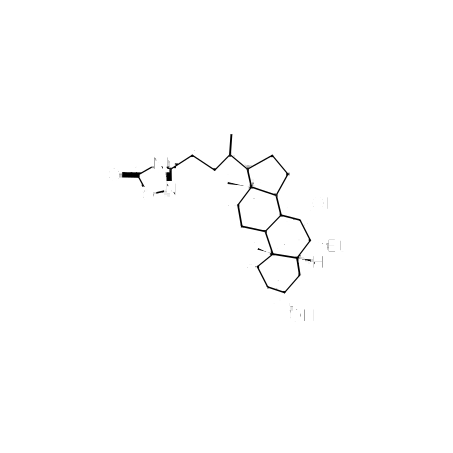 CC[C@H]1[C@@H](O)C2C3CCC(C(C)CCc4noc(=O)[nH]4)[C@@]3(C)CCC2[C@@]2(C)CC[C@@H](O)C[C@@H]12